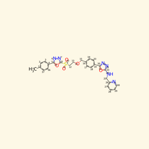 Cc1ccc(-c2nnc(S(=O)(=O)CCOCc3ccc(-c4nnc(NCc5ccccn5)o4)cc3)o2)cc1